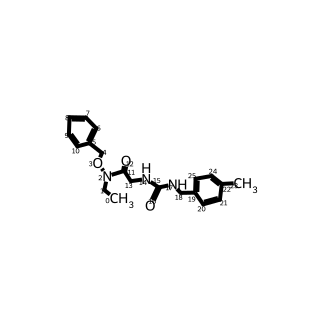 CCN(OCc1ccccc1)C(=O)CNC(=O)NCc1ccc(C)cc1